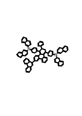 C1=CC(N(C2=CC=C(C3=c4c(c5ccc(-c6cc7ccccc7c7ccccc67)cc5c5ccccc45)=C(C4=CC=C(N(c5ccc6ccccc6c5)c5ccc6ccccc6c5)CC4)C(c4ccccc4)C3)CC2)c2ccc3ccccc3c2)Cc2ccccc21